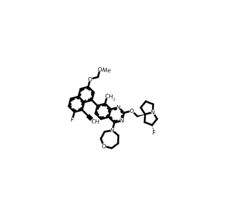 C#Cc1c(F)ccc2cc(OCOC)cc(-c3ccc4c(N5CCCOCC5)nc(OC[C@@]56CCCN5C[C@H](F)C6)nc4c3C)c12